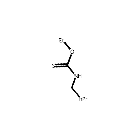 CCCCNC(=S)OCC